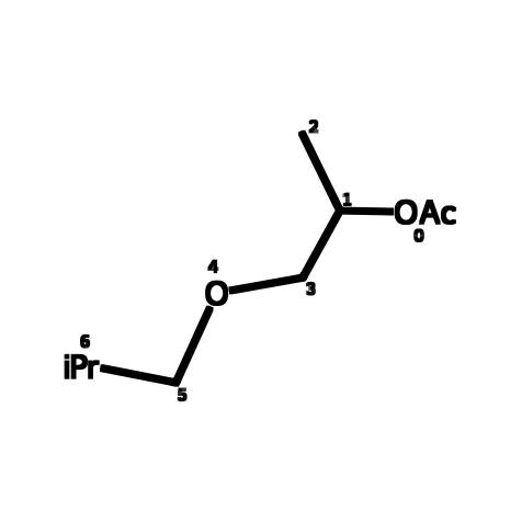 CC(=O)OC(C)COCC(C)C